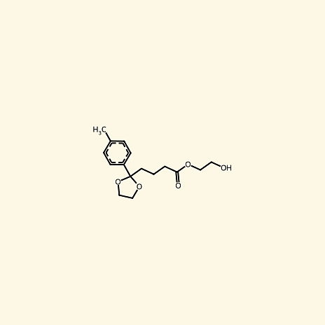 Cc1ccc(C2(CCCC(=O)OCCO)OCCO2)cc1